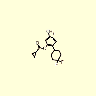 Cc1ccc(C2CCC(F)(F)CC2)c(OC(=O)C2CC2)c1